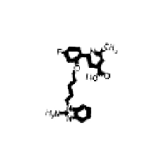 Cc1cc(C(=O)O)cc(-c2ccc(F)cc2OCCCCCn2c(N)nc3ccccc32)n1